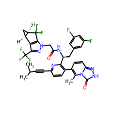 Cc1c(-c2ccc(C#CC(C)C)nc2[C@H](Cc2cc(F)cc(F)c2)NC(=O)Cn2nc(C(F)(F)F)c3c2C(F)(F)[C@@H]2C[C@H]32)ccc2n[nH]c(=O)n12